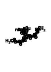 C=CC(=O)OCCOC(=O)CCC(=O)Oc1ccc(OC(=O)CCC(=O)OCCOC(=O)C=C)c2c1SC(=C1C(=O)N(CCCC)N(CCCC)C1=O)S2